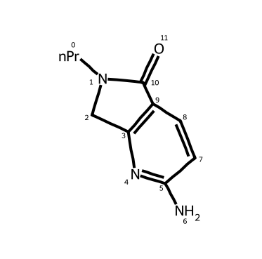 CCCN1Cc2nc(N)ccc2C1=O